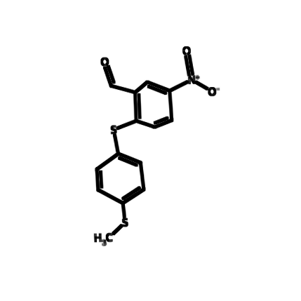 CSc1ccc(Sc2ccc([N+](=O)[O-])cc2C=O)cc1